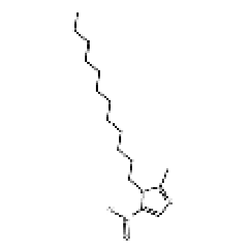 CCCCCCCCCCCCn1c([N+](=O)[O-])cnc1C